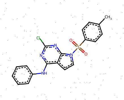 Cc1ccc(S(=O)(=O)n2ccc3c(Nc4ccccc4)nc(Cl)nc32)cc1